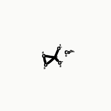 [Co+2].[O-]C1([O-])OO1